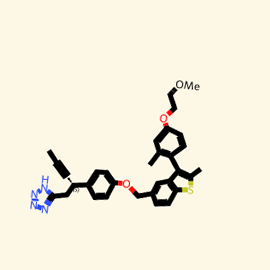 CC#C[C@@H](Cc1nnn[nH]1)c1ccc(OCc2ccc3sc(C)c(-c4ccc(OCCOC)cc4C)c3c2)cc1